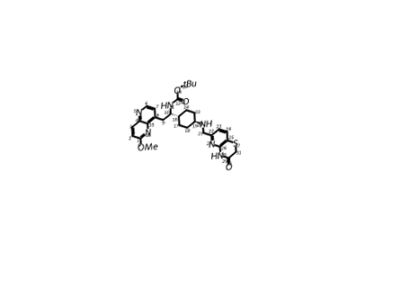 COc1ccc2nccc(CC(NC(=O)OC(C)(C)C)[C@H]3CC[C@H](NCc4ccc5c(n4)NC(=O)CS5)CC3)c2n1